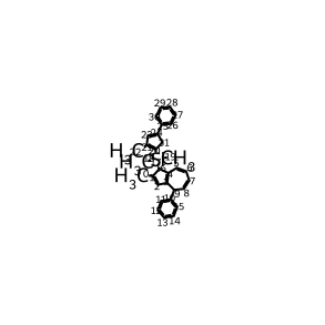 CC1=CC2=C(C=CC=CC2c2ccccc2)C1[Si](C)(C)C1=C(C)C=C(c2ccccc2)C1